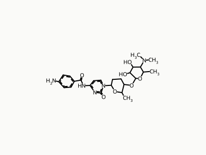 CC1OC(n2ccc(NC(=O)c3ccc(N)cc3)nc2=O)CCC1OC1OC(C)C(N(C)C)C(O)C1O